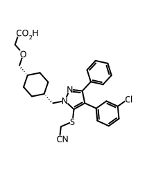 N#CCSc1c(-c2cccc(Cl)c2)c(-c2ccccc2)nn1C[C@H]1CC[C@@H](COCC(=O)O)CC1